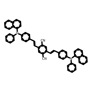 N#Cc1cc(C=Cc2ccc(N(c3ccccc3)c3cccc4ccccc34)cc2)c(C#N)cc1C=Cc1ccc(N(c2ccccc2)c2cccc3ccccc23)cc1